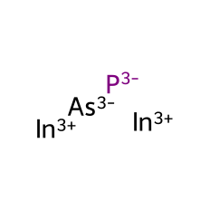 [As-3].[In+3].[In+3].[P-3]